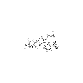 CCCC(C)CC(C(=O)O)c1ccc(OCC2CC2)c(-c2cccc([N+](=O)[O-])c2)c1